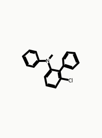 CN(c1ccccc1)c1cccc(Cl)c1-c1ccccc1